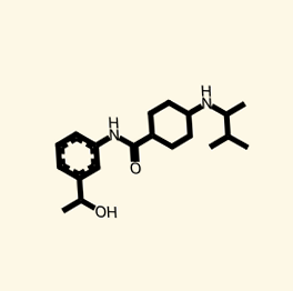 CC(O)c1cccc(NC(=O)C2CCC(NC(C)C(C)C)CC2)c1